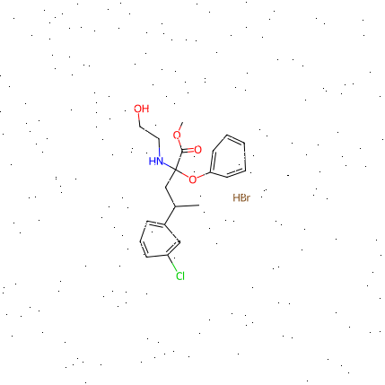 Br.COC(=O)C(CC(C)c1cccc(Cl)c1)(NCCO)Oc1ccccc1